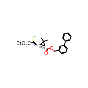 CCOC(=O)/C(F)=C/[C@H]1[C@@H](C(=O)OCc2cccc(-c3ccccc3)c2)C1(C)C